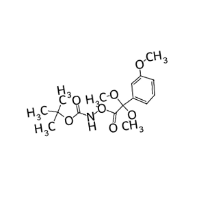 COc1cccc(C(OC)(OC)C(=O)ONC(=O)OC(C)(C)C)c1